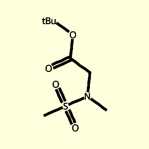 CN(CC(=O)OC(C)(C)C)S(C)(=O)=O